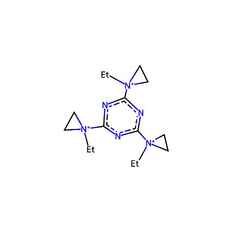 CC[N+]1(c2nc([N+]3(CC)CC3)nc([N+]3(CC)CC3)n2)CC1